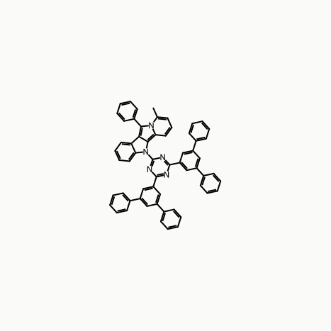 Cc1cccc2c3c(c(-c4ccccc4)n12)c1ccccc1n3-c1nc(-c2cc(-c3ccccc3)cc(-c3ccccc3)c2)nc(-c2cc(-c3ccccc3)cc(-c3ccccc3)c2)n1